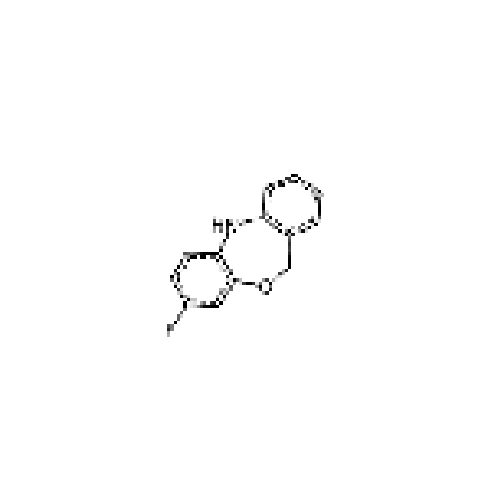 Fc1ccc2c(c1)OCc1ccccc1N2